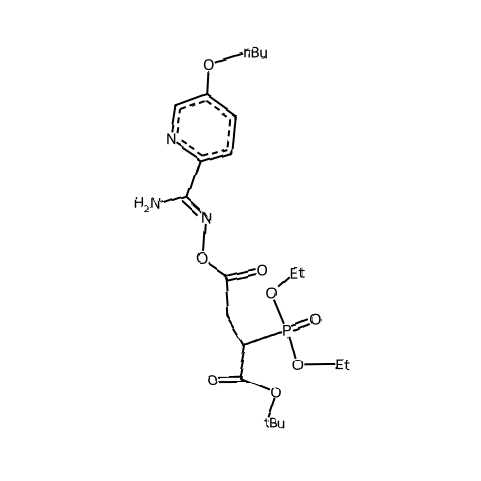 CCCCOc1ccc(/C(N)=N/OC(=O)CC(C(=O)OC(C)(C)C)P(=O)(OCC)OCC)nc1